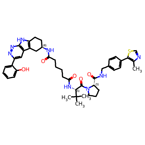 Cc1ncsc1-c1ccc(CNC(=O)[C@@H]2CCCN2C(=O)[C@@H](NC(=O)CCCCC(=O)N[C@@H]2CCc3[nH]c4nnc(-c5ccccc5O)cc4c3C2)C(C)(C)C)cc1